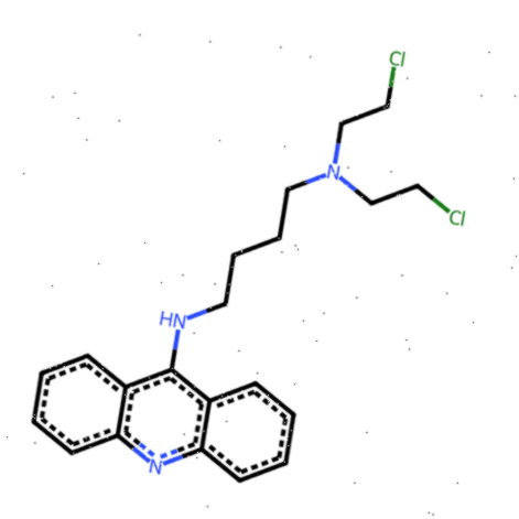 ClCCN(CCCl)CCCCNc1c2ccccc2nc2ccccc12